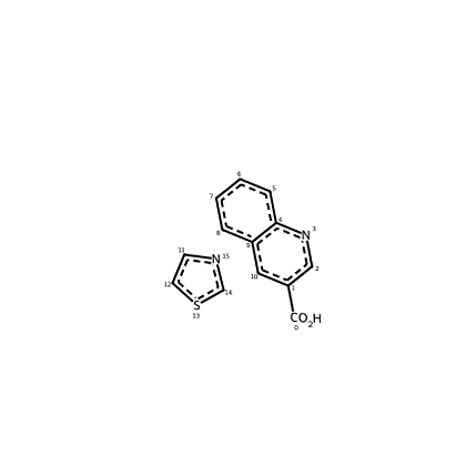 O=C(O)c1cnc2ccccc2c1.c1cscn1